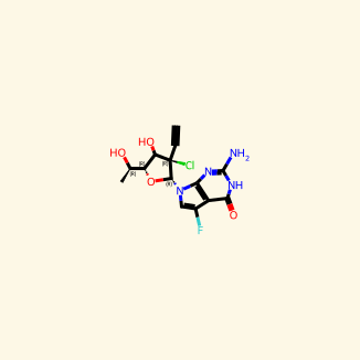 C#C[C@@]1(Cl)C(O)[C@@H]([C@@H](C)O)O[C@H]1n1cc(F)c2c(=O)[nH]c(N)nc21